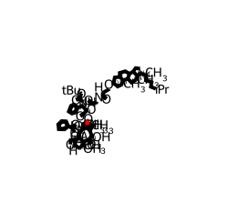 CC(=O)O[C@@]12CO[C@@H]1C[C@H](O)[C@@]1(C)C(=O)[C@H](O)C3=C(C)[C@@H](OC(=O)[C@H](OC(=O)CNC(=O)CCO[C@H]4CC[C@@]5(C)C(=CCC6C5CC[C@@]5(C)C6CC[C@@H]5[C@H](C)CCCC(C)C)C4)[C@@H](NC(=O)OC(C)(C)C)c4ccccc4)C[C@@](O)([C@@H](OC(=O)c4ccccc4)[C@H]21)C3(C)C